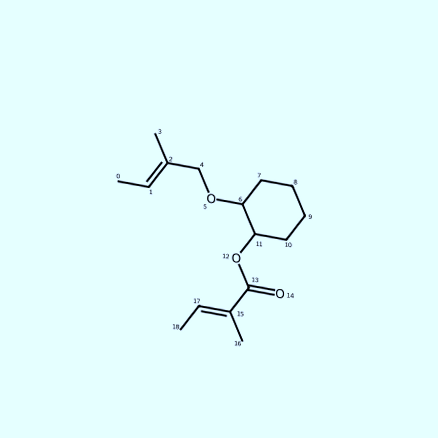 CC=C(C)COC1CCCCC1OC(=O)C(C)=CC